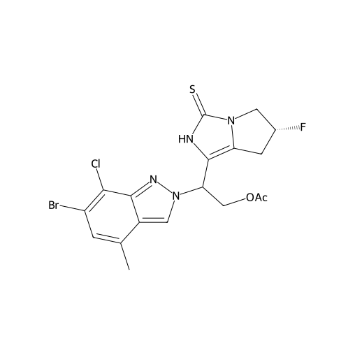 CC(=O)OCC(c1[nH]c(=S)n2c1C[C@@H](F)C2)n1cc2c(C)cc(Br)c(Cl)c2n1